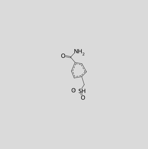 NC(=O)c1ccc(C[SH](=O)=O)cc1